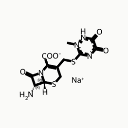 Cn1[nH]c(=O)c(=O)nc1SCC1=C(C(=O)[O-])N2C(=O)[C@@H](N)[C@H]2SC1.[Na+]